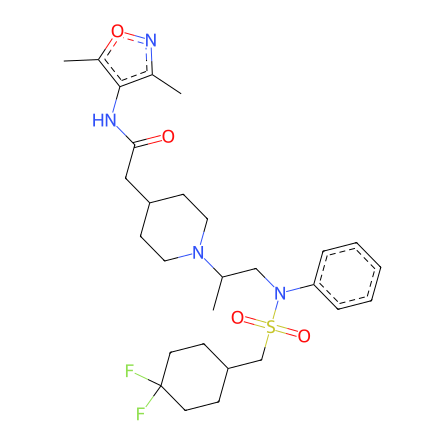 Cc1noc(C)c1NC(=O)CC1CCN(C(C)CN(c2ccccc2)S(=O)(=O)CC2CCC(F)(F)CC2)CC1